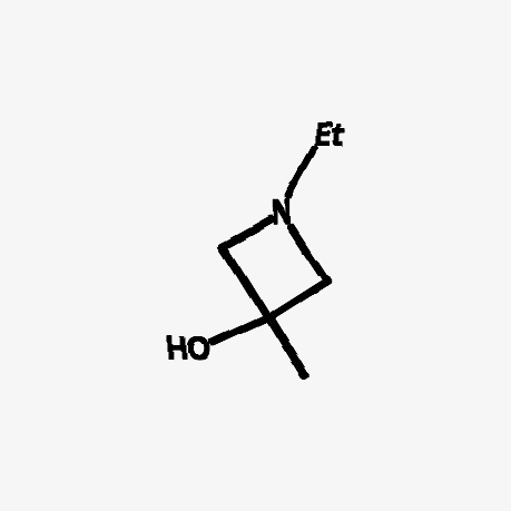 [CH2]CN1CC(C)(O)C1